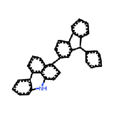 c1ccc(C2c3ccccc3-c3ccc(-c4ccc5c6c(cccc46)-c4ccccc4N5)cc32)cc1